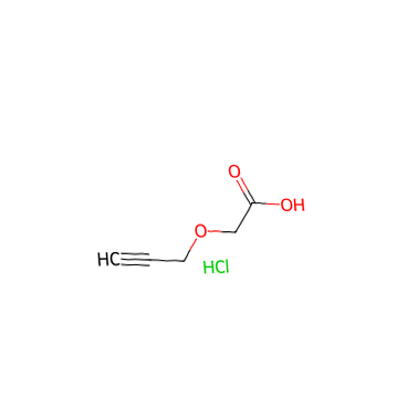 C#CCOCC(=O)O.Cl